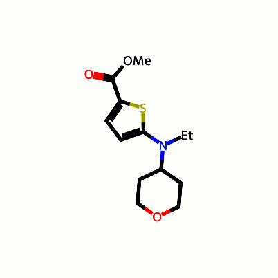 CCN(c1ccc(C(=O)OC)s1)C1CCOCC1